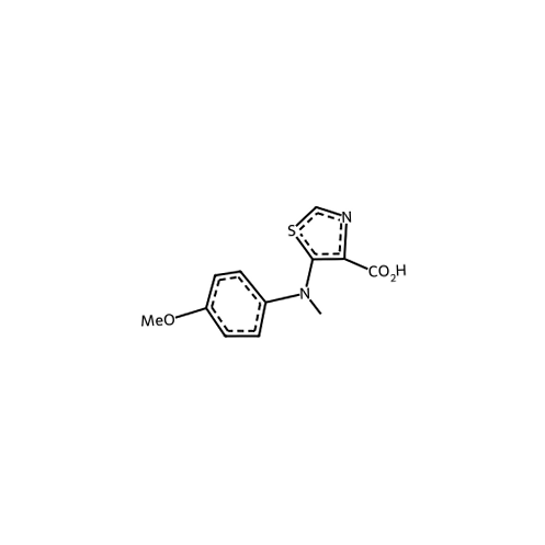 COc1ccc(N(C)c2scnc2C(=O)O)cc1